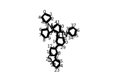 c1ccc(-n2c3ccccc3c3c4c5cc(-c6ccc7sc8ccccc8c7c6)ccc5n(-c5ccccc5)c4ccc32)cc1